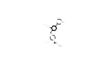 C[C@@H]1CN(Cc2ccc(C3CNCCO3)cc2OC(F)(F)F)CCN1C(=O)OC(C)(C)C